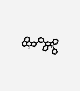 c1ccc(-n2c3ccccc3c3cc(-c4cccc(-c5ccc6c(c5)-c5cccc7cccc(c57)S6)c4)c4ccccc4c32)cc1